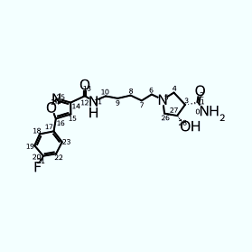 NC(=O)[C@H]1CN(CCCCCNC(=O)c2cc(-c3ccc(F)cc3)on2)C[C@H]1O